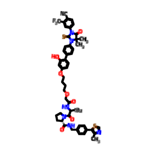 Cc1ncsc1-c1ccc(CNC(=O)[C@@H]2CCCN2C(=O)C(NC(=O)COCCCCOc2ccc(-c3ccc(N4C(=S)N(c5ccc(C#N)c(C(F)(F)F)c5)C(=O)C4(C)C)cc3)c(O)c2)C(C)(C)C)cc1